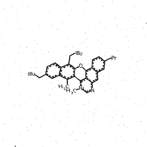 Cc1c2c(c(CC(C)(C)C)c3ccc(CC(C)(C)C)cc13)Oc1c3ccc(C(C)C)cc3cc3nc[n+](C)c-2c13